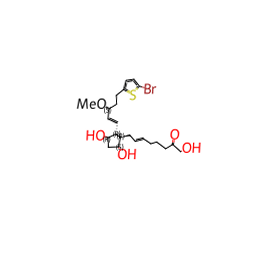 CO[C@H](C=C[C@@H]1[C@@H](CC=CCCCC(=O)CO)[C@@H](O)C[C@H]1O)CCc1ccc(Br)s1